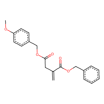 C=C(CC(=O)OCc1ccc(OC)cc1)C(=O)OCc1ccccc1